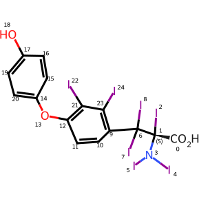 O=C(O)[C@@](I)(N(I)I)C(I)(I)c1ccc(Oc2ccc(O)cc2)c(I)c1I